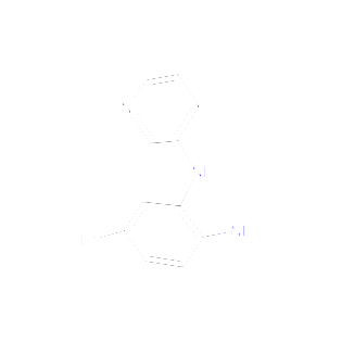 Nc1ccc(Br)cc1Nc1cccnc1